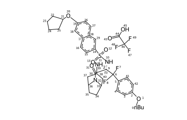 CCCCOc1ccc(C(F)(F)[C@@H](NS(=O)(=O)c2ccc3cc(OC4CCCC4)ccc3c2)C(=O)N2C3CCC2CC(N)C3)cc1.O=C(O)C(F)(F)F